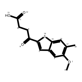 COc1cc2cc(C(=O)CCC(=O)O)sc2cc1C